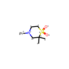 CC(C)N1CCS(=O)(=O)C(C)(C)C1